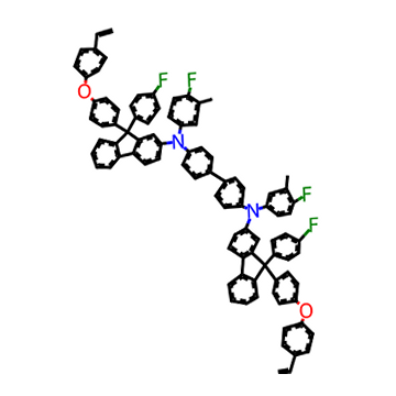 C=Cc1ccc(Oc2ccc(C3(c4ccc(F)cc4)c4ccccc4-c4ccc(N(c5ccc(-c6ccc(N(c7ccc(F)c(C)c7)c7ccc8c(c7)C(c7ccc(F)cc7)(c7ccc(Oc9ccc(C=C)cc9)cc7)c7ccccc7-8)cc6)cc5)c5ccc(F)c(C)c5)cc43)cc2)cc1